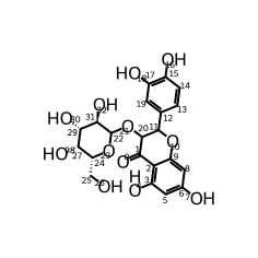 O=C1c2c(O)cc(O)cc2OC(c2ccc(O)c(O)c2)C1OC1O[C@H](CO)[C@H](O)[C@H](O)[C@H]1O